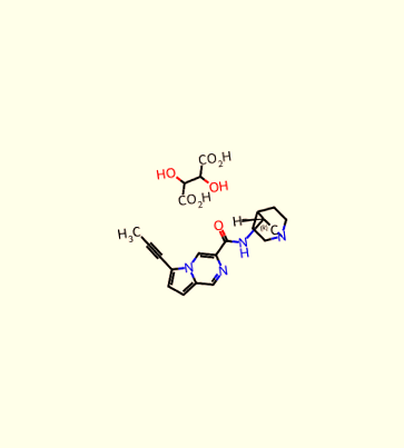 CC#Cc1ccc2cnc(C(=O)N[C@H]3CN4CCC3CC4)cn12.O=C(O)C(O)C(O)C(=O)O